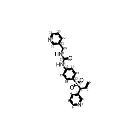 C=CC(c1cccnc1)S(=O)(=O)c1ccc(NC(=O)NCc2cccnc2)cc1